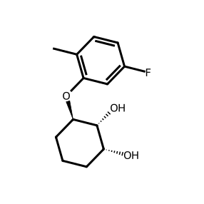 Cc1ccc(F)cc1O[C@@H]1CCC[C@@H](O)[C@H]1O